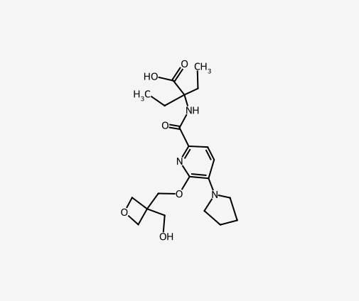 CCC(CC)(NC(=O)c1ccc(N2CCCC2)c(OCC2(CO)COC2)n1)C(=O)O